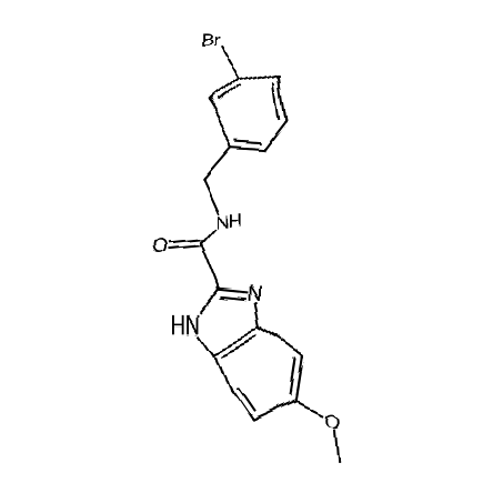 COc1ccc2[nH]c(C(=O)NCc3cccc(Br)c3)nc2c1